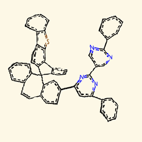 C1=Cc2ccc(-c3cc(-c4ccccc4)nc(-c4cnc(-c5ccccc5)nc4)n3)cc2C2(c3ccccc31)c1ccccc1-c1c2ccc2c1sc1ccccc12